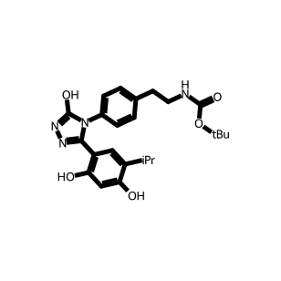 CC(C)c1cc(-c2nnc(O)n2-c2ccc(CCNC(=O)OC(C)(C)C)cc2)c(O)cc1O